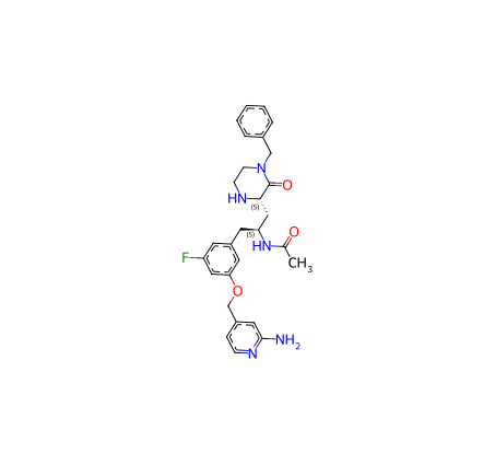 CC(=O)N[C@@H](Cc1cc(F)cc(OCc2ccnc(N)c2)c1)C[C@@H]1NCCN(Cc2ccccc2)C1=O